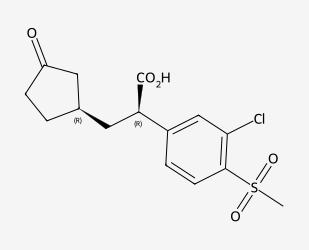 CS(=O)(=O)c1ccc([C@@H](C[C@H]2CCC(=O)C2)C(=O)O)cc1Cl